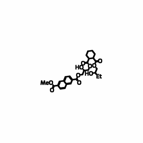 CCC(O)COC(=O)C1CCCCC1C(=O)OCC(O)COC(=O)c1ccc2cc(C(=O)OC)ccc2c1